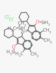 Cc1ccc2c(c1C)C(O[SiH3])=C(C1CCCCC1)[CH]2[Zr+2]([CH]1C(C2CCCCC2)=C(O[SiH3])c2c1ccc(C)c2C)[SiH](C)C.[Cl-].[Cl-]